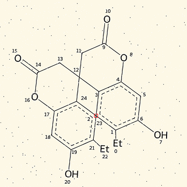 CCc1cc2c(cc1O)OC(=O)CC21CC(=O)Oc2cc(O)c(CC)cc21